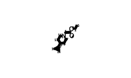 CCOC(=O)CN1CCC(C2CC2)CC1